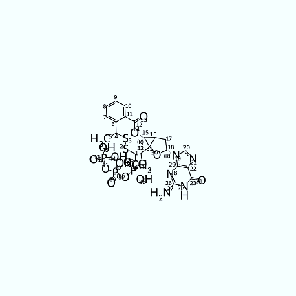 CCSSC(C)c1ccccc1C(=O)O[C@@H]1C2C[C@H](n3cnc4c(=O)[nH]c(N)nc43)OC21COP(=O)(O)OP(=O)(O)OP(=O)(O)O